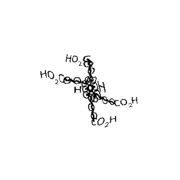 O=C(O)COCCOCCOC(=O)c1c(O)c(C(=O)OCCOCCOCC(=O)O)c(C(=O)OCCOCCOCC(=O)O)c(O)c1C(=O)OCCOCCOCC(=O)O